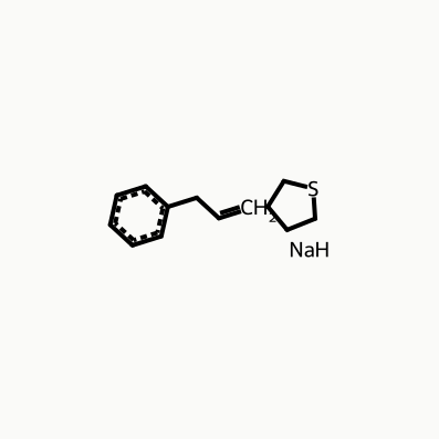 C1CCSC1.C=CCc1ccccc1.[NaH]